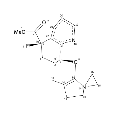 COC(=O)[C@@]1(F)CC[C@H](OC2=C(C)CC[N+]23CC3)c2ncccc21